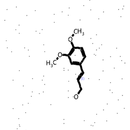 COc1ccc(/C=C/C[O])cc1OC